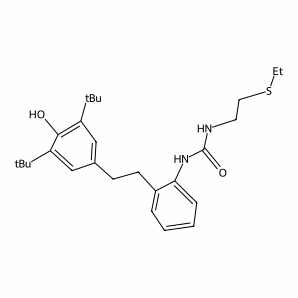 CCSCCNC(=O)Nc1ccccc1CCc1cc(C(C)(C)C)c(O)c(C(C)(C)C)c1